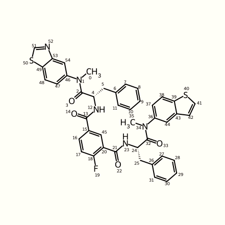 CN(C(=O)[C@H](Cc1ccccc1)NC(=O)c1ccc(F)c(C(=O)N[C@@H](Cc2ccccc2)C(=O)N(C)c2ccc3sccc3c2)c1)c1ccc2scnc2c1